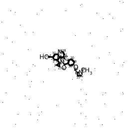 C#Cc1cc(C2(NC(=O)c3cc(OC[C@@H]4CCN4C)ccc3C)CC2)c2cccnc2c1